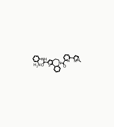 Cn1ccc(-c2cccc(C(=O)N3CCc4cc(C(=O)Nc5ccccc5N)sc4-c4ccccc43)n2)n1